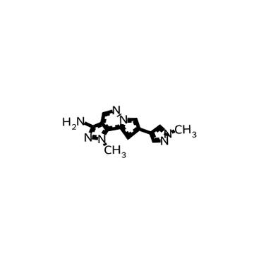 Cn1cc(-c2cc3c4c(cnn3c2)c(N)nn4C)cn1